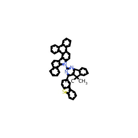 CC1(C)c2ccccc2-c2nc(-n3c4ccc5c6ccccc6c6ccccc6c5c4c4ccc5ccccc5c43)nc(-c3ccc4sc5ccccc5c4c3)c21